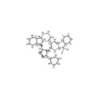 CC1(C)c2ccccc2C2=CC=C(n3c(-c4ccccc4)nnc3-n3c4c(c5ccccc53)CCC=C4)CC21